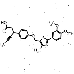 CC#CC(CC(=O)O)c1ccc(OCc2sc(-c3ccc(OC)c(OC)c3)nc2C)cc1